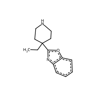 CCC1(c2nc3ccccc3o2)CCNCC1